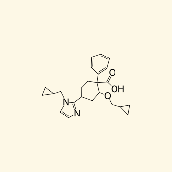 O=C(O)C1(c2ccccc2)CCC(c2nccn2CC2CC2)CC1OCC1CC1